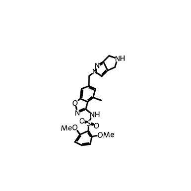 COc1cccc(OC)c1S(=O)(=O)Nc1noc2cc(Cn3cc4c(n3)CNC4)cc(C)c12